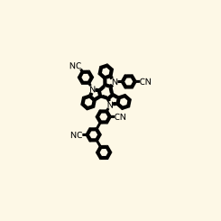 N#Cc1ccc(-n2c3ccccc3c3c2c2c4ccccc4n(-c4ccc(-c5cc(C#N)cc(-c6ccccc6)c5)cc4C#N)c2c2c4ccccc4n(-c4ccc(C#N)cc4)c32)cc1